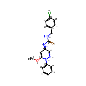 CCCOc1c/c(=N/C(=S)NCc2ccc(Cl)cc2)cnn1-c1ccccc1